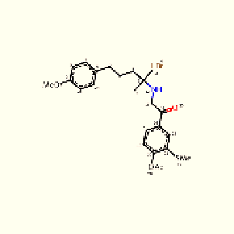 Br.COc1ccc(CCCC(C)(C)NCC(=O)c2ccc(OC(C)=O)c(SC)c2)cc1